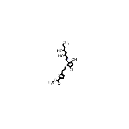 CCCC(O)C[C@H](O)/C=C/[C@@H]1[C@@H](CCCc2ccc(C(=O)OC)s2)[C@H](Cl)C[C@H]1O